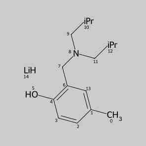 Cc1ccc(O)c(CN(CC(C)C)CC(C)C)c1.[LiH]